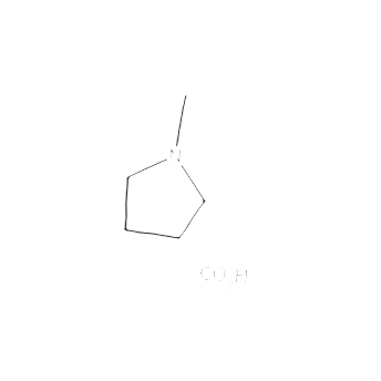 [CH2]N1CC[C@@H](C(=O)O)C1